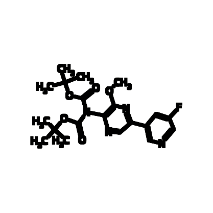 COc1nc(-c2cncc(F)c2)cnc1N(C(=O)OC(C)(C)C)C(=O)OC(C)(C)C